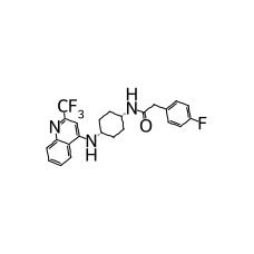 O=C(Cc1ccc(F)cc1)N[C@H]1CC[C@@H](Nc2cc(C(F)(F)F)nc3ccccc23)CC1